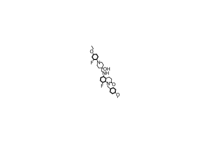 CCOc1ccc(N2CCC(O)(CNc3ccc(F)c4c3CCC(=O)N4Cc3ccc(OC)cc3)CC2)c(F)c1